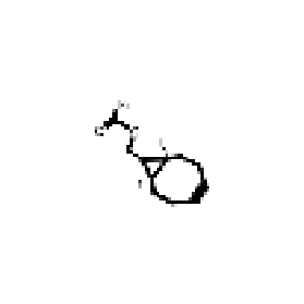 CC(C)C(=O)OC[C@@H]1[C@@H]2CCC#CCC[C@@H]21